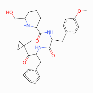 COc1ccc(CC(NC(=O)C2CCCC(CO)N2)C(=O)NC(Cc2ccccc2)C(=O)C2(C)CC2)cc1